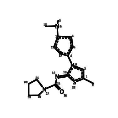 Cc1cn(-c2ccc(N(C)C)cc2)/c(=N/C(=O)N2CCCC2)s1